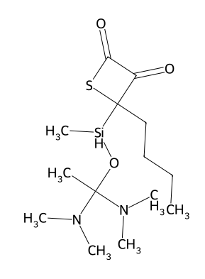 CCCCC1([SiH](C)OC(C)(N(C)C)N(C)C)SC(=O)C1=O